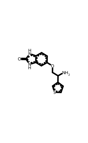 NC(COc1ccc2[nH]c(=O)[nH]c2c1)c1ccsc1